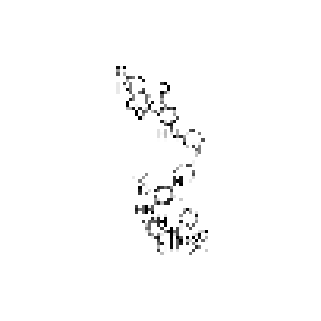 Cc1cc(Nc2ncc(Cl)c(Nc3ccccc3S(=O)(=O)C(C)C)n2)c(OC(C)C)cc1N1CCC(CN2CCC[C@H](Nc3ccc4c(c3)C(=O)N(C3CCC(=O)NC3=O)C4=O)C2)CC1